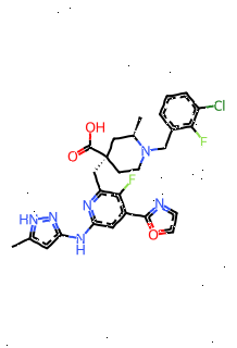 Cc1cc(Nc2cc(-c3ncco3)c(F)c(C[C@@]3(C(=O)O)CCN(Cc4cccc(Cl)c4F)[C@H](C)C3)n2)n[nH]1